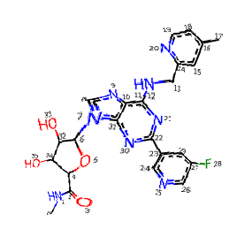 CNC(=O)C1OC(n2cnc3c(NCc4cc(C)ccn4)nc(-c4cncc(F)c4)nc32)C(O)C1O